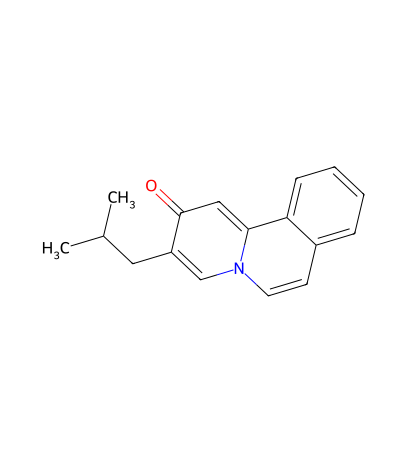 CC(C)Cc1cn2ccc3ccccc3c2cc1=O